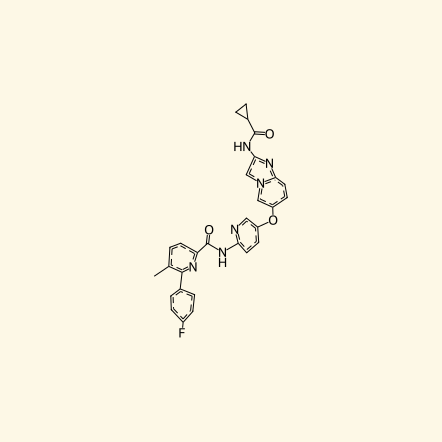 Cc1ccc(C(=O)Nc2ccc(Oc3ccc4nc(NC(=O)C5CC5)cn4c3)cn2)nc1-c1ccc(F)cc1